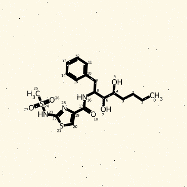 CCCCC(O)C(O)C(Cc1ccccc1)NC(=O)c1csc(NS(C)(=O)=O)n1